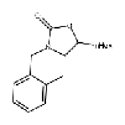 CCCCCCC1CN(Cc2ccccc2C)C(=O)O1